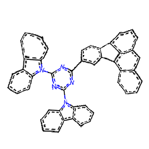 c1ccc2c3c4c(cccc4cc2c1)-c1ccc(-c2nc(-n4c5ccccc5c5ccccc54)nc(-n4c5ccccc5c5ccccc54)n2)cc1-3